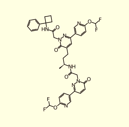 C[C@@H](CCc1cc(-c2ccc(OC(F)F)nc2)nn(CC(=O)NC2(c3ccccc3)CCC2)c1=O)NC(=O)Cn1nc(-c2ccc(OC(F)F)nc2)ccc1=O